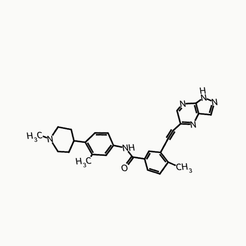 Cc1ccc(C(=O)Nc2ccc(C3CCN(C)CC3)c(C)c2)cc1C#Cc1cnc2[nH]ncc2n1